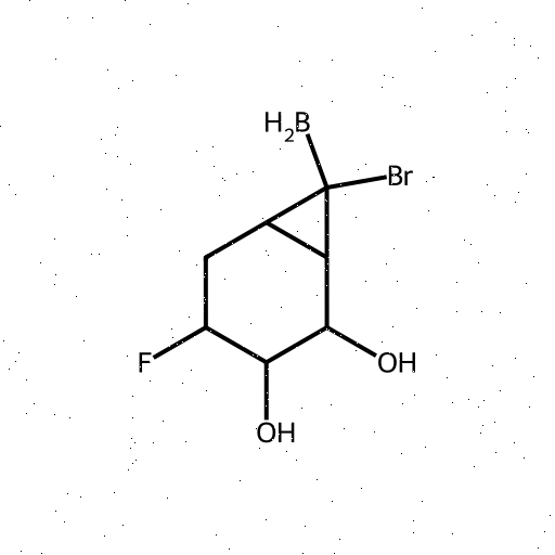 BC1(Br)C2CC(F)C(O)C(O)C21